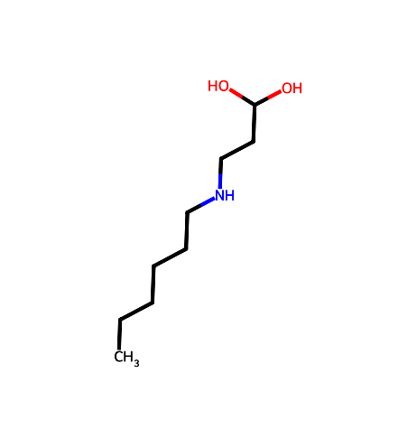 CCCCCCNCCC(O)O